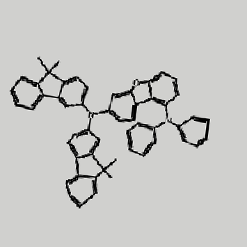 CC1(C)c2ccccc2-c2cc(N(c3ccc4c(c3)C(C)(C)c3ccccc3-4)c3ccc4c(c3)oc3cccc(N(c5ccccc5)c5ccccc5)c34)ccc21